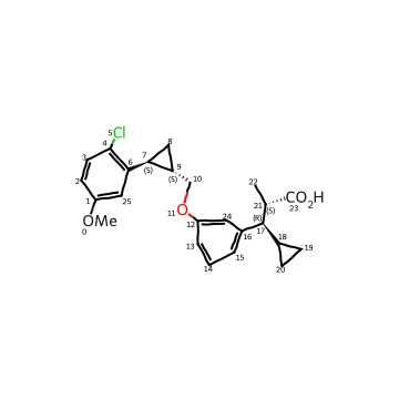 COc1ccc(Cl)c([C@H]2C[C@@H]2COc2cccc([C@H](C3CC3)[C@H](C)C(=O)O)c2)c1